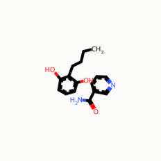 CCCCc1c(O)cccc1O.NC(=O)c1cccnc1